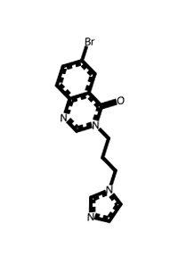 O=c1c2cc(Br)ccc2ncn1CCCn1ccnc1